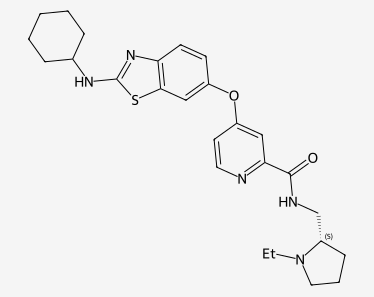 CCN1CCC[C@H]1CNC(=O)c1cc(Oc2ccc3nc(NC4CCCCC4)sc3c2)ccn1